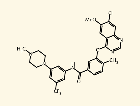 COc1cc2c(Oc3cc(C(=O)Nc4cc(N5CCN(C)CC5)cc(C(F)(F)F)c4)ccc3C)ncnc2cc1Cl